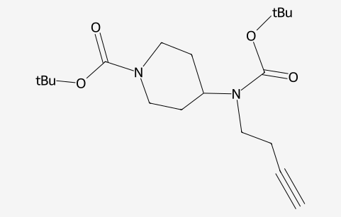 C#CCCN(C(=O)OC(C)(C)C)C1CCN(C(=O)OC(C)(C)C)CC1